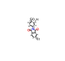 CCc1ccc2c(c1)C(=O)N(c1ccc(C(=O)O)cc1)C2=O